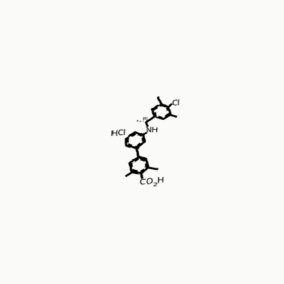 Cc1cc([C@@H](C)Nc2cccc(-c3cc(C)c(C(=O)O)c(C)c3)c2)cc(C)c1Cl.Cl